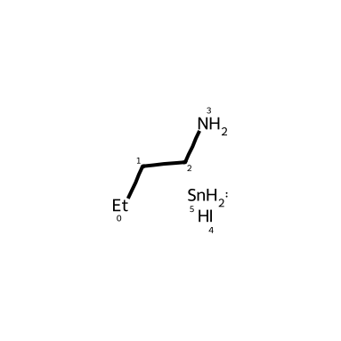 CCCCN.I.[SnH2]